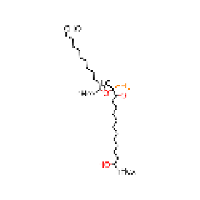 CCCCCCC(O)CCCCCCCCCCC(=O)C(C)(P)OC(CCCCCC)CCCCCCCCCCC=O